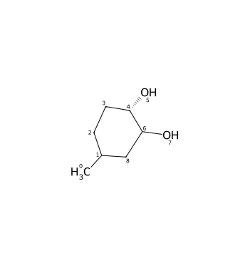 CC1CC[C@H](O)C(O)C1